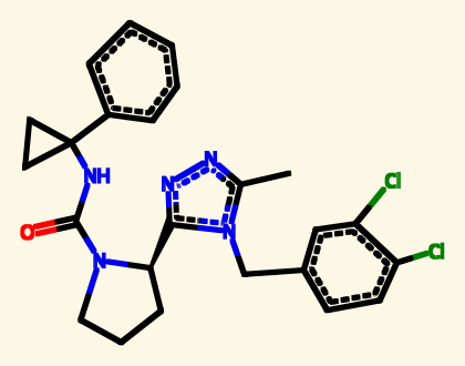 Cc1nnc([C@H]2CCCN2C(=O)NC2(c3ccccc3)CC2)n1Cc1ccc(Cl)c(Cl)c1